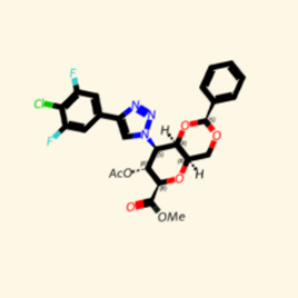 COC(=O)[C@@H]1O[C@@H]2CO[C@H](c3ccccc3)O[C@@H]2[C@H](n2cc(-c3cc(F)c(Cl)c(F)c3)nn2)[C@H]1OC(C)=O